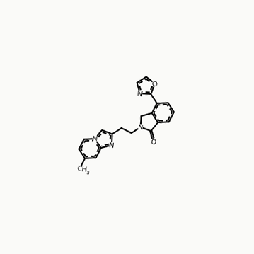 Cc1ccn2cc(CCN3Cc4c(cccc4-c4ncco4)C3=O)nc2c1